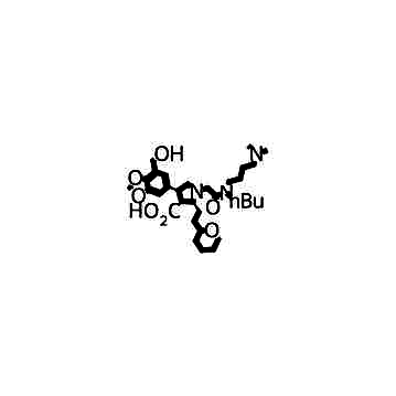 CCCCN(CCCCN(C)C)C(=O)CN1C[C@H](c2cc(CO)c3c(c2)OCO3)[C@@H](C(=O)O)[C@@H]1CCC1CCCCO1